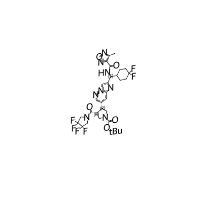 Cc1nonc1C(=O)N[C@H](c1cn2ncc([C@@H]3CN(C(=O)OC(C)(C)C)C[C@@H]3C(=O)N3CC(F)(F)C(F)(F)C3)cc2n1)C1CCC(F)(F)CC1